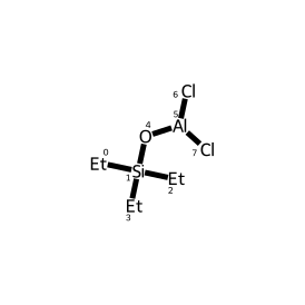 CC[Si](CC)(CC)[O][Al]([Cl])[Cl]